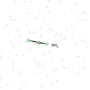 [Cl][Hg][Cl].[SiH4]